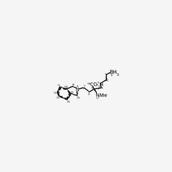 BCCCCC(CCN1Cc2ccccc2C1)(NC)C(=O)O